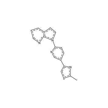 Cc1nc(-c2ccc(-n3ccc4cccnc43)nc2)cs1